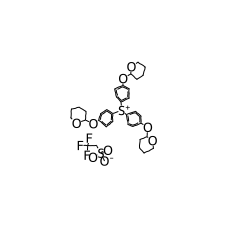 O=S(=O)([O-])CC(F)(F)F.c1cc([S+](c2ccc(OC3CCCCO3)cc2)c2ccc(OC3CCCCO3)cc2)ccc1OC1CCCCO1